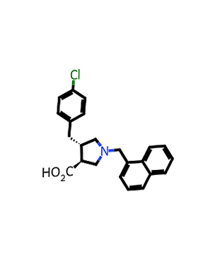 O=C(O)[C@@H]1CN(Cc2cccc3ccccc23)C[C@H]1Cc1ccc(Cl)cc1